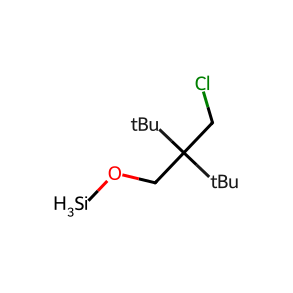 CC(C)(C)C(CCl)(CO[SiH3])C(C)(C)C